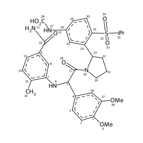 COc1ccc(C(Nc2cc(C(N)=O)ccc2C)C(=O)N2CCCC2c2cc(NC(=O)O)ccc2S(=O)(=O)C(C)C)cc1OC